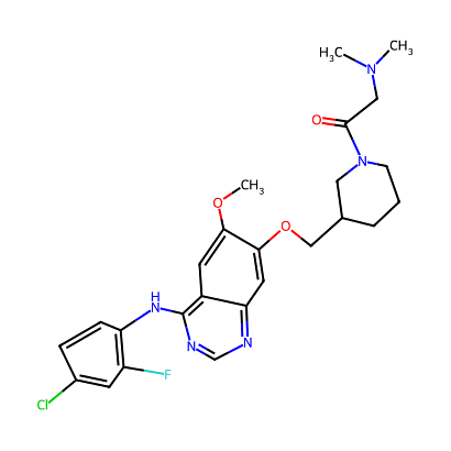 COc1cc2c(Nc3ccc(Cl)cc3F)ncnc2cc1OCC1CCCN(C(=O)CN(C)C)C1